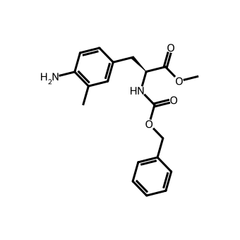 COC(=O)[C@H](Cc1ccc(N)c(C)c1)NC(=O)OCc1ccccc1